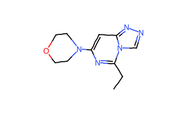 CCc1nc(N2CCOCC2)cc2nncn12